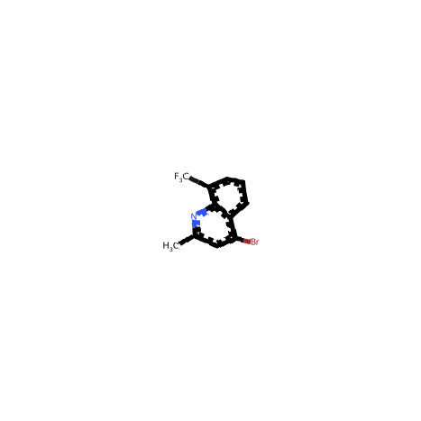 Cc1cc(Br)c2cccc(C(F)(F)F)c2n1